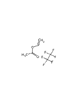 C=COC(C)=O.FC(F)(F)C(F)(F)F